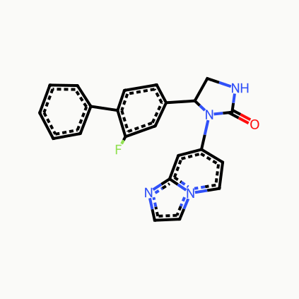 O=C1NCC(c2ccc(-c3ccccc3)c(F)c2)N1c1ccn2ccnc2c1